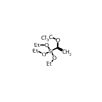 C=C(OC(Cl)(Cl)Cl)[Si](OCC)(OCC)OCC